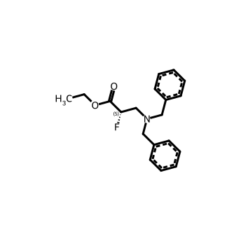 CCOC(=O)[C@@H](F)CN(Cc1ccccc1)Cc1ccccc1